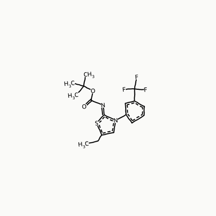 CCc1cn(-c2cccc(C(F)(F)F)c2)c(=NC(=O)OC(C)(C)C)s1